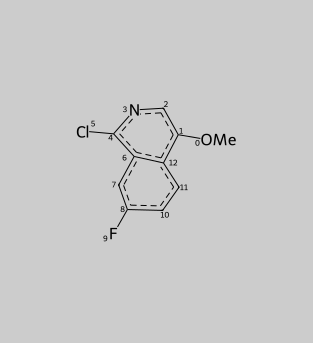 COc1cnc(Cl)c2cc(F)ccc12